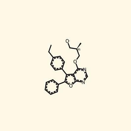 CCc1ccc(-c2c(-c3ccccc3)oc3ncnc(OC[C@H](C)C[O])c23)cc1